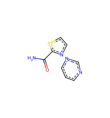 NC(=O)c1nccs1.c1cncnc1